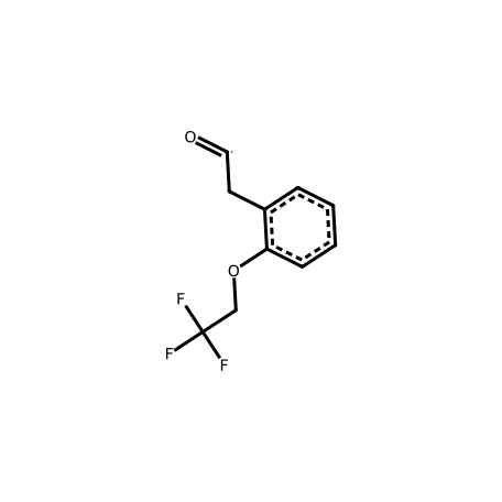 O=[C]Cc1ccccc1OCC(F)(F)F